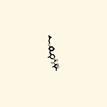 Cc1onc(NC(=O)N2CC/C(=C\c3cccc(OCCC4CC4)c3)C(C)C2)c1C